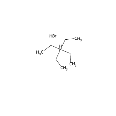 Br.CC[PH](CC)(CC)CC